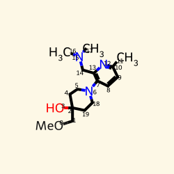 COCC1(O)CCN(c2ccc(C)nc2CN(C)C)CC1